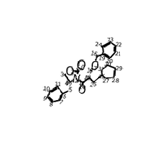 O=C1OC[C@@H](Cc2ccccc2)N1C(=O)[C@H](COCc1ccccc1)CC1CCCCC1